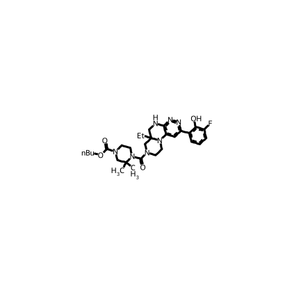 CCCCOC(=O)N1CCN(C(=O)N2CCN3c4cc(-c5cccc(F)c5O)nnc4NCC3(CC)C2)C(C)(C)C1